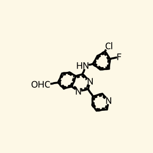 O=Cc1ccc2c(Nc3ccc(F)c(Cl)c3)nc(-c3cccnc3)nc2c1